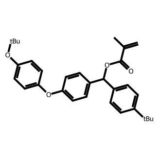 C=C(C)C(=O)OC(c1ccc(Oc2ccc(OC(C)(C)C)cc2)cc1)c1ccc(C(C)(C)C)cc1